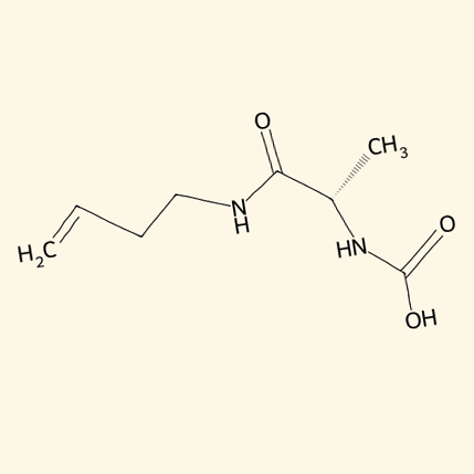 C=CCCNC(=O)[C@H](C)NC(=O)O